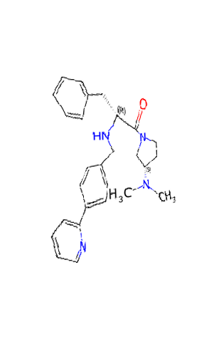 CN(C)[C@H]1CCN(C(=O)[C@@H](Cc2ccccc2)NCc2ccc(-c3ccccn3)cc2)C1